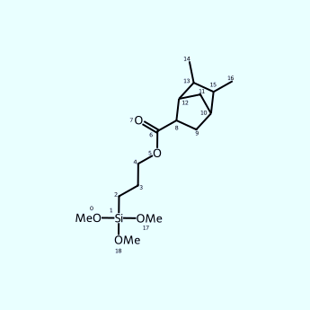 CO[Si](CCCOC(=O)C1CC2CC1C(C)C2C)(OC)OC